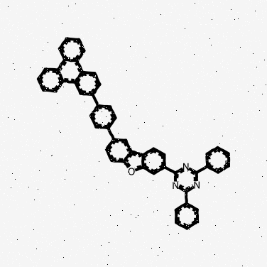 c1ccc(-c2nc(-c3ccccc3)nc(-c3ccc4c(c3)oc3ccc(-c5ccc(-c6ccc7c8ccccc8c8ccccc8c7c6)cc5)cc34)n2)cc1